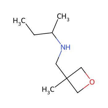 CCC(C)NCC1(C)COC1